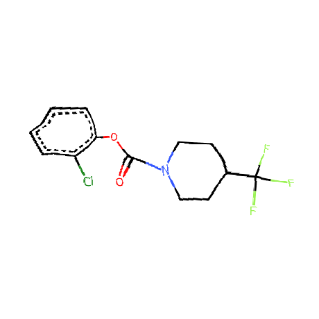 O=C(Oc1ccccc1Cl)N1CCC(C(F)(F)F)CC1